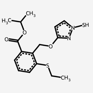 CCSc1cccc(C(=O)OC(C)C)c1COc1ccn(S)n1